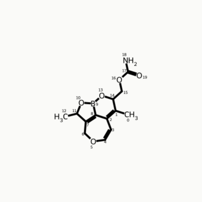 CC1=C2C=COCC3=C2B(OC3C)OC1COC(N)=O